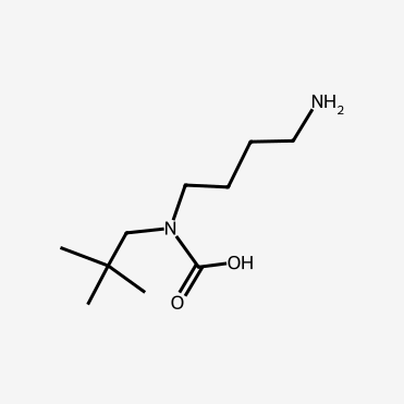 CC(C)(C)CN(CCCCN)C(=O)O